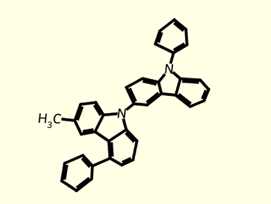 Cc1ccc2c(c1)c1c(-c3ccccc3)cccc1n2-c1ccc2c(c1)c1ccccc1n2-c1ccccc1